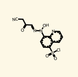 N#CCC(=O)C=NN(O)c1ccc(S(=O)(=O)Cl)c2cccnc12